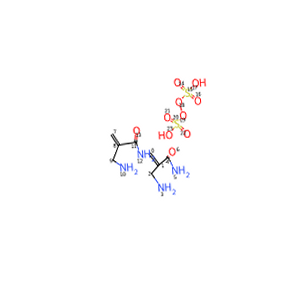 C=C(CN)C(N)=O.C=C(CN)C(N)=O.O=S(=O)(O)OOS(=O)(=O)O